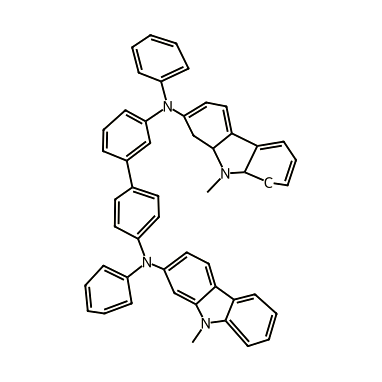 CN1C2CC=CC=C2C2=CC=C(N(c3ccccc3)c3cccc(-c4ccc(N(c5ccccc5)c5ccc6c7ccccc7n(C)c6c5)cc4)c3)CC21